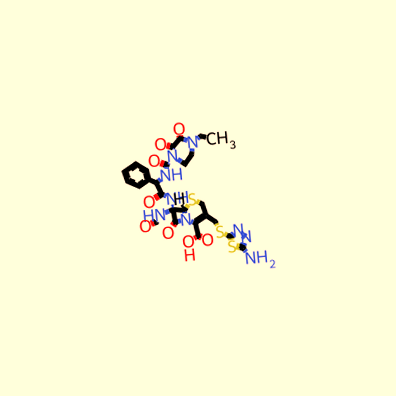 CCN1CCN(C(=O)NC(C(=O)N[C@]2(NC=O)C(=O)N3C(C(=O)O)=C(CSc4nnc(N)s4)CS[C@H]32)c2ccccc2)C(=O)C1=O